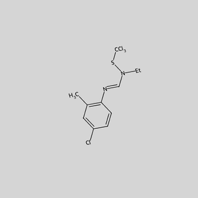 CCN(C=Nc1ccc(Cl)cc1C)SC(Cl)(Cl)Cl